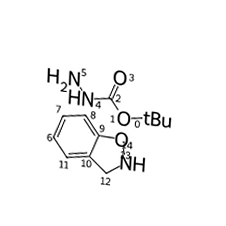 CC(C)(C)OC(=O)NN.c1ccc2c(c1)CNO2